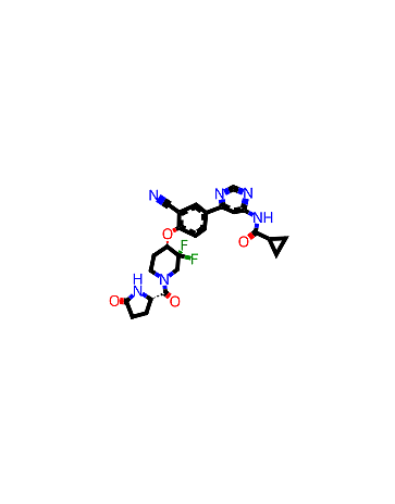 N#Cc1cc(-c2cc(NC(=O)C3CC3)ncn2)ccc1O[C@H]1CCN(C(=O)[C@@H]2CCC(=O)N2)CC1(F)F